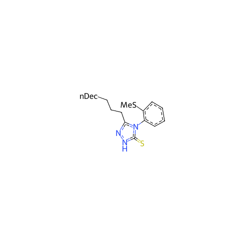 CCCCCCCCCCCCCc1n[nH]c(=S)n1-c1ccccc1SC